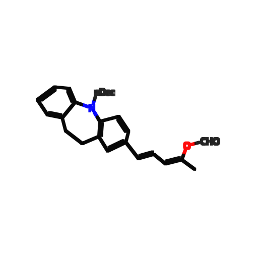 CCCCCCCCCCN1c2ccccc2CCc2cc(/C=C/C=C(/C)OC=O)ccc21